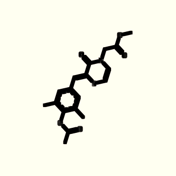 COC(=O)CN1C=CS/C(=C\c2cc(C)c(OC(C)=O)c(C)c2)C1=O